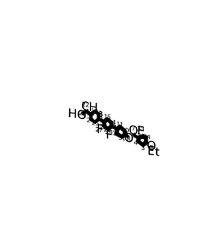 CCOc1ccc(C(=O)Oc2ccc(-c3ccc(C4CCC(C(C)O)CC4)c(F)c3F)cc2)c(F)c1